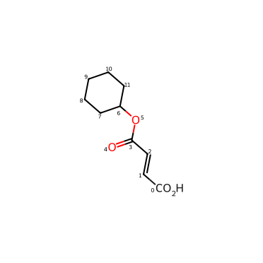 O=C(O)C=CC(=O)OC1CCCCC1